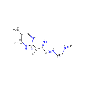 C=N/C=C\N=C\C(=N)/C(C)=C(\N=C)N[C@H](C)COC